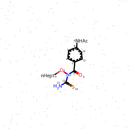 CCCCCCCON(C(=O)c1ccc(NC(C)=O)cc1)C(N)=S